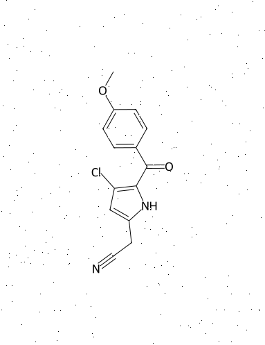 COc1ccc(C(=O)c2[nH]c(CC#N)cc2Cl)cc1